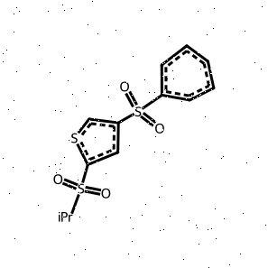 CC(C)S(=O)(=O)c1cc(S(=O)(=O)c2ccccc2)cs1